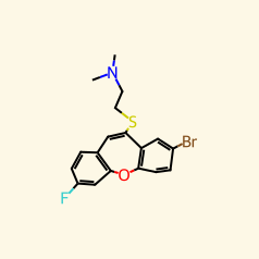 CN(C)CCSC1=Cc2ccc(F)cc2Oc2ccc(Br)cc21